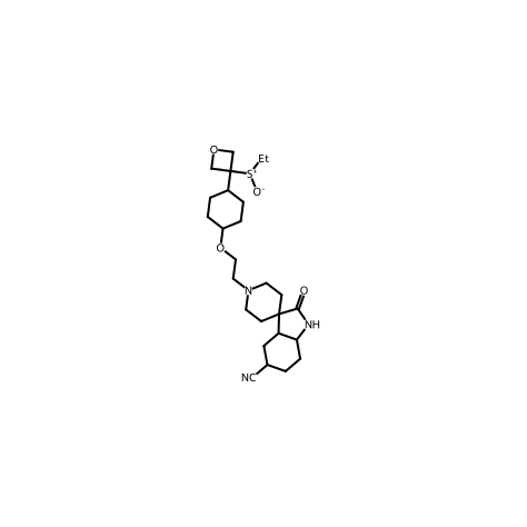 CC[S+]([O-])C1(C2CCC(OCCN3CCC4(CC3)C(=O)NC3CCC(C#N)CC34)CC2)COC1